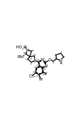 CN1CCCC1COc1nc(N2CCC3(C2)CN(C(=O)O)[C@H]3C(C)(C)C)c2cc(Cl)c(Br)c(F)c2n1